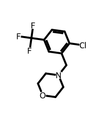 FC(F)(F)c1ccc(Cl)c(CN2CCOCC2)c1